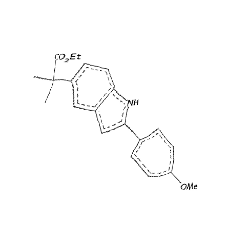 CCOC(=O)C(C)(C)c1ccc2[nH]c(-c3ccc(OC)cc3)cc2c1